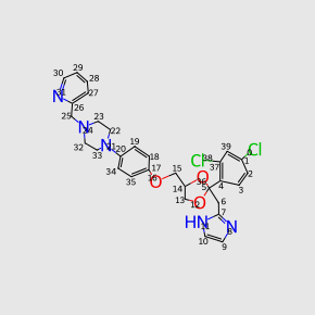 Clc1ccc(C2(Cc3ncc[nH]3)OCC(COc3ccc(N4CCN(Cc5ccccn5)CC4)cc3)O2)c(Cl)c1